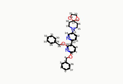 c1ccc(COc2ccc(-c3ccc(N4CCC5(CC4)OCCO5)cn3)c(OCc3ccccc3)n2)cc1